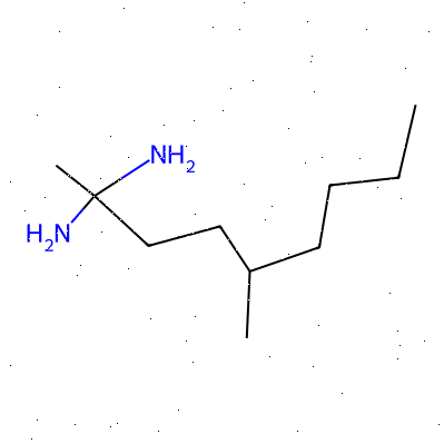 CCCCC(C)CCC(C)(N)N